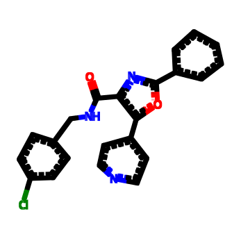 O=C(NCc1ccc(Cl)cc1)c1nc(-c2ccccc2)oc1-c1ccncc1